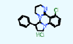 Cl.Clc1cccc2c1C1=NCCCN1C1C(c3ccccc3)CCN21